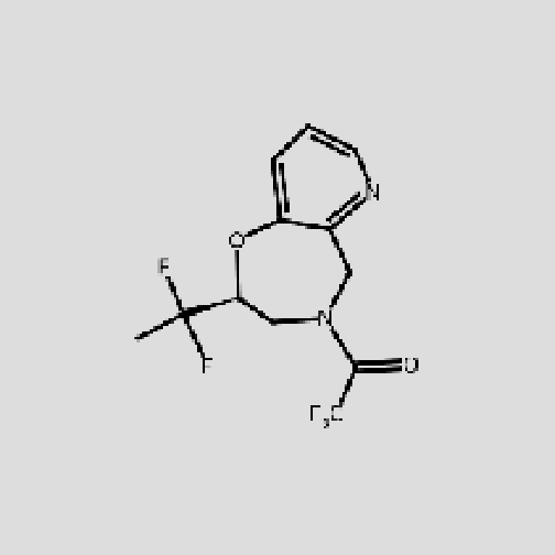 CC(F)(F)[C@@H]1CN(C(=O)C(F)(F)F)Cc2ncccc2O1